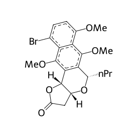 CCC[C@@H]1O[C@@H]2CC(=O)O[C@@H]2c2c1c(OC)c1c(OC)ccc(Br)c1c2OC